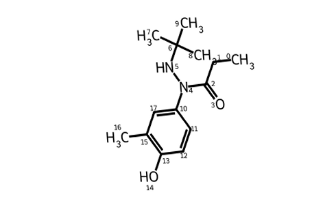 CCC(=O)N(NC(C)(C)C)c1ccc(O)c(C)c1